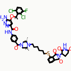 C[C@@H]1CN(C(=O)c2ccc(NC(=O)c3cc(O[C@H](C)c4c(Cl)ccc(F)c4Cl)c(N)nn3)cc2)C[C@H](C)N1CCCCCCSc1cccc2c1C(=O)N(C1CCC(=O)NC1=O)C2=O